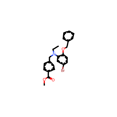 CCN(Cc1ccc(C(=O)OC)cc1)c1cc(Br)ccc1OCc1ccccc1